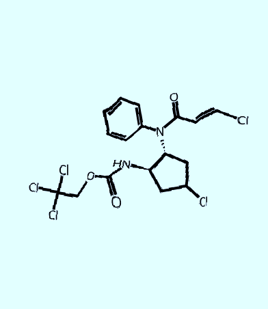 O=C(N[C@@H]1CC(Cl)C[C@H]1N(C(=O)C=CCl)c1ccccc1)OCC(Cl)(Cl)Cl